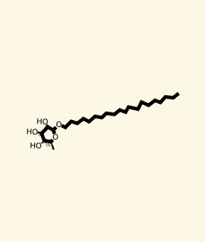 CCCCCCCCCCCCCCCCCCCCOC1O[C@@H](C)[C@H](O)[C@@H](O)[C@H]1O